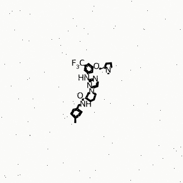 Cc1ccc(CNC(=O)[C@H]2CCCN(c3ccnc(Nc4cc(OC[C@H]5CCCN5C)cc(C(F)(F)F)c4)n3)C2)cc1